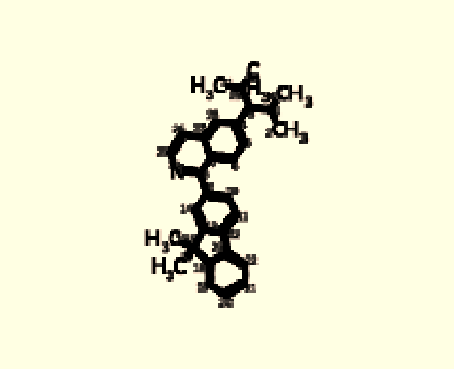 CC(C)C(c1ccc2c(-c3ccc4c(c3)C(C)(C)c3ccccc3-4)nccc2c1)C(C)C